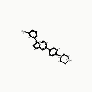 Nc1cccc(-c2cnc3cc(-c4ccc(N5CCNCC5)nc4)ccn23)c1